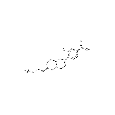 CCCCC1CCC2CC(c3ccc(C(=O)O)cc3F)CCC2C1